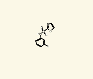 O=S(=O)(Nc1cccc(I)c1)c1ncco1